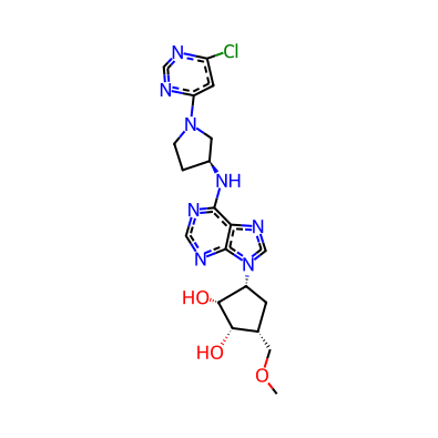 COC[C@H]1C[C@@H](n2cnc3c(N[C@H]4CCN(c5cc(Cl)ncn5)C4)ncnc32)[C@@H](O)[C@H]1O